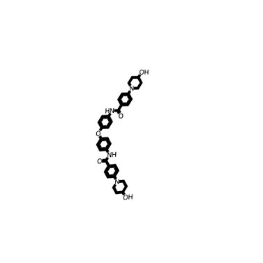 O=C(Nc1ccc(Oc2ccc(NC(=O)c3ccc(N4CCC(O)CC4)cc3)cc2)cc1)c1ccc(N2CCC(O)CC2)cc1